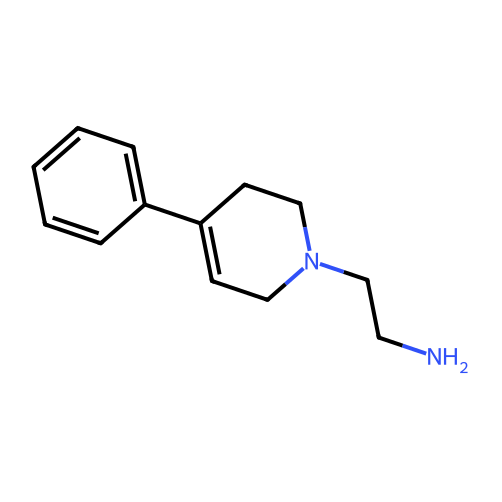 NCCN1CC=C(c2ccccc2)CC1